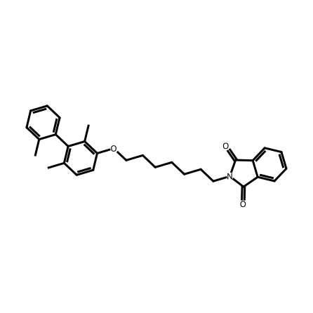 Cc1ccccc1-c1c(C)ccc(OCCCCCCCN2C(=O)c3ccccc3C2=O)c1C